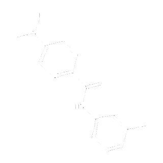 CCN(C)c1ccc(C(=O)Nc2cccc(C)c2)cc1